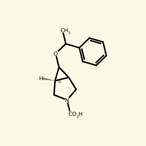 CC(OC1C2CN(C(=O)O)C[C@H]21)c1ccccc1